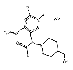 COc1cc(Cl)c(Cl)cc1C(C(=O)[O-])N1CCC(CO)CC1.[Na+]